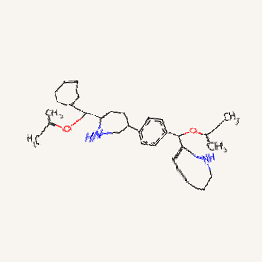 CC(C)OC(c1ccc(C2CCC(C(OC(C)C)C3CCCCC3)NC2)cc1)C1CCCCN1